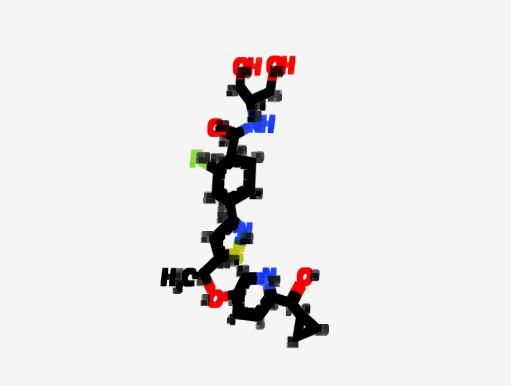 C[C@@H](Oc1ccc(C(=O)C2CC2)nc1)c1cc(-c2ccc(C(=O)NC(CO)CO)c(F)c2)ns1